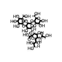 O=C(CO)N[C@H]1[C@H]([C@H](O)[C@H](O)CO)O[C@@](OC[C@H]2O[C@@H](O[C@H]3[C@H](O)[C@@H](O)C(O)O[C@@H]3CO)[C@H](O)[C@@H](O[C@@H]3O[C@H](CO)[C@H](O)[C@H](O)[C@H]3O)[C@H]2O)(C(=O)O)C[C@@H]1O